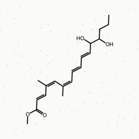 CCCC(O)C(O)C=CC=CC=C(C)C=C(C)C=CC(=O)OC